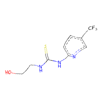 OCCNC(=S)Nc1ccc(C(F)(F)F)cn1